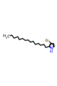 CCCCCCCCCCCCCCCc1[nH]ccc1Br